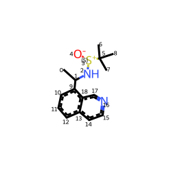 CC(N[S@+]([O-])C(C)(C)C)c1cccc2ccncc12